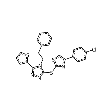 Clc1ccc(-c2csc(Sc3nnc(-c4cccs4)n3CCc3ccccc3)n2)cc1